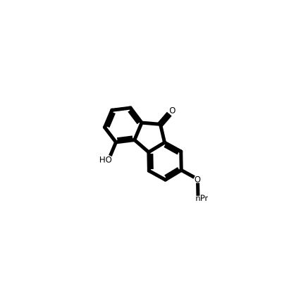 CCCOc1ccc2c(c1)C(=O)c1cccc(O)c1-2